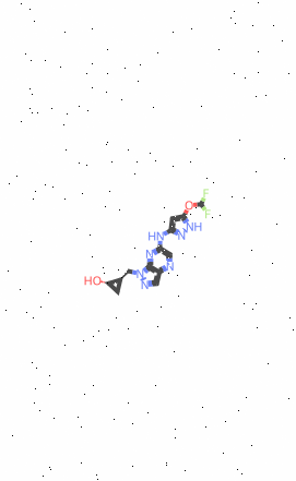 O[C@H]1C[C@@H]1Cn1ncc2ncc(Nc3cc(OC(F)F)[nH]n3)nc21